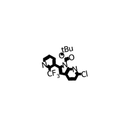 CC(C)(C)OC(=O)n1c(-c2cccnc2C(F)(F)F)cc2ccc(Cl)nc21